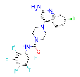 Nc1cc(N2CCN(C(=O)Nc3c(F)c(F)c(F)c(F)c3F)CC2)c2ccc(Cl)cc2n1